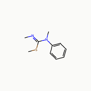 CN=C(SC)N(C)c1ccccc1